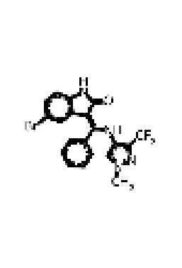 Cn1cc(N/C(=C2\C(=O)Nc3ccc(Br)cc32)c2ccccc2)c(C(F)(F)F)n1